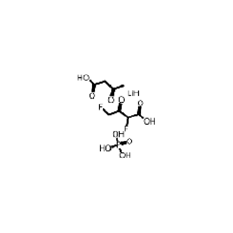 CC(=O)CC(=O)O.O=C(O)C(F)C(=O)CF.O=P(O)(O)O.[LiH]